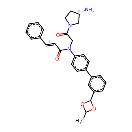 CC1OC(c2cccc(-c3ccc(N(CC(=O)N4CC[C@H](N)C4)C(=O)/C=C/c4ccccc4)cc3)c2)O1